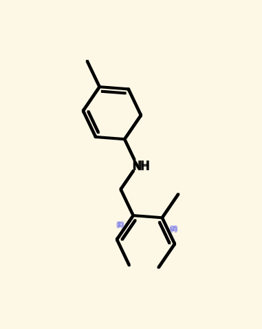 C/C=C(C)\C(=C/C)CNC1C=CC(C)=CC1